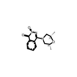 C[C@@H]1CN(C2=N[N+](=O)C(=O)c3ccccc32)C[C@H](C)O1